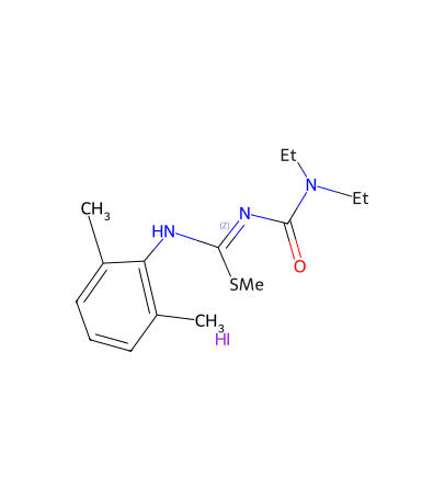 CCN(CC)C(=O)/N=C(/Nc1c(C)cccc1C)SC.I